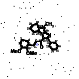 COc1cccc(/C=C/C(=O)c2c(-c3ccccc3)nc3n(C)c4ccccc4n23)c1OC